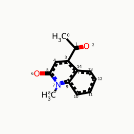 CC(=O)c1cc(=O)n(C)c2ccccc12